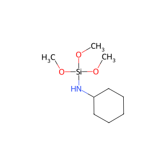 CO[Si](NC1CCCCC1)(OC)OC